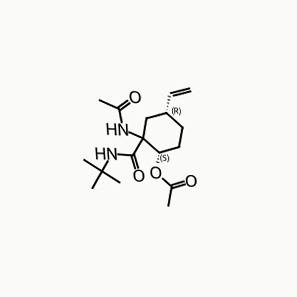 C=C[C@@H]1CC[C@H](OC(C)=O)C(NC(C)=O)(C(=O)NC(C)(C)C)C1